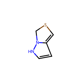 C1=CC2=CSCN2N1